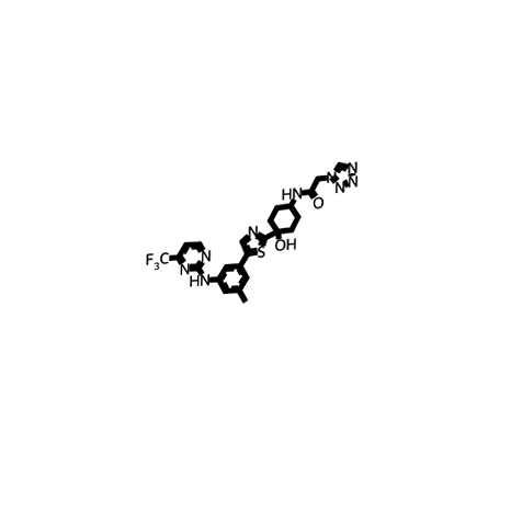 Cc1cc(Nc2nccc(C(F)(F)F)n2)cc(-c2cnc(C3(O)CCC(NC(=O)Cn4cnnn4)CC3)s2)c1